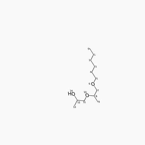 CCCCCCOCC(C)OCC(C)O